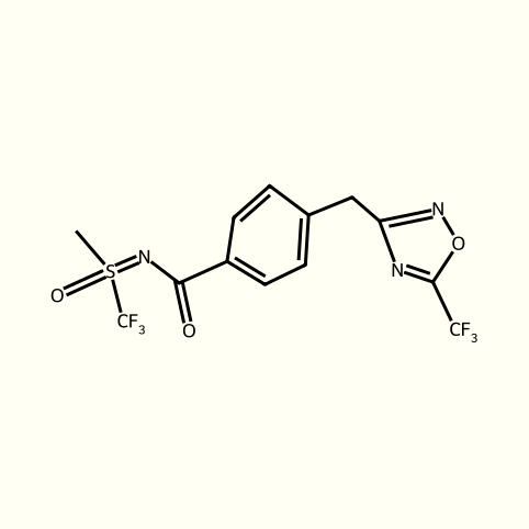 CS(=O)(=NC(=O)c1ccc(Cc2noc(C(F)(F)F)n2)cc1)C(F)(F)F